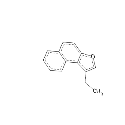 CCc1coc2ccc3ccccc3c12